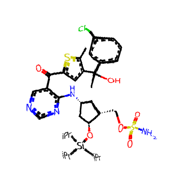 Cc1sc(C(=O)c2cncnc2N[C@@H]2C[C@H](COS(N)(=O)=O)[C@@H](O[Si](C(C)C)(C(C)C)C(C)C)C2)cc1C(C)(O)c1cccc(Cl)c1